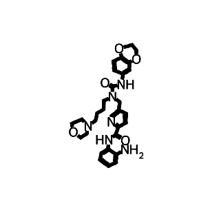 Nc1ccccc1NC(=O)c1ccc(CN(CCCCN2CCOCC2)C(=O)Nc2ccc3c(c2)OCCO3)cn1